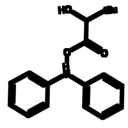 CC(C)(C)C(O)C(=O)O[SiH](c1ccccc1)c1ccccc1